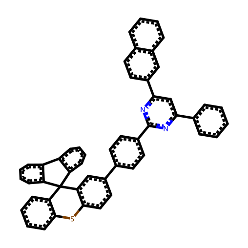 c1ccc(-c2cc(-c3ccc4ccccc4c3)nc(-c3ccc(-c4ccc5c(c4)C4(c6ccccc6S5)c5ccccc5-c5ccccc54)cc3)n2)cc1